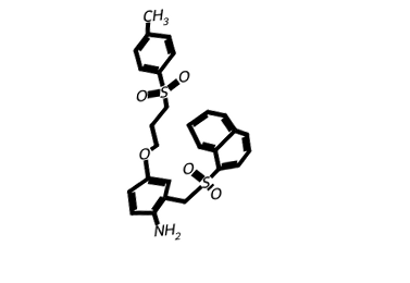 Cc1ccc(S(=O)(=O)CCCOc2ccc(N)c(CS(=O)(=O)c3cccc4ccccc34)c2)cc1